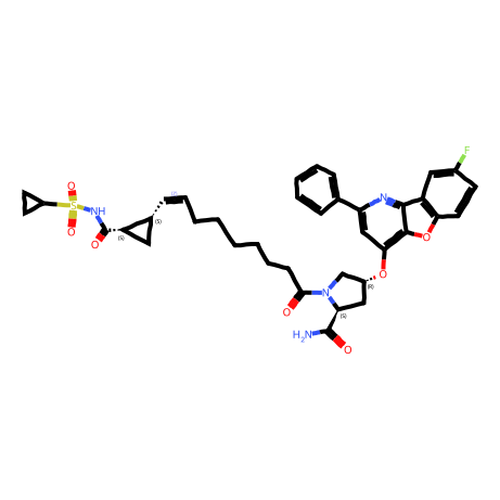 NC(=O)[C@@H]1C[C@@H](Oc2cc(-c3ccccc3)nc3c2oc2ccc(F)cc23)CN1C(=O)CCCCCC/C=C\[C@@H]1C[C@@H]1C(=O)NS(=O)(=O)C1CC1